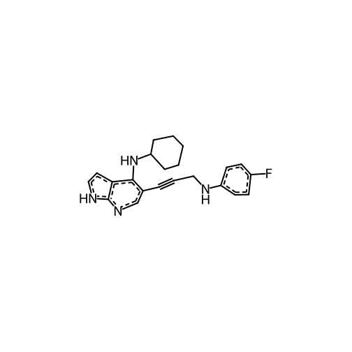 Fc1ccc(NCC#Cc2cnc3[nH]ccc3c2NC2CCCCC2)cc1